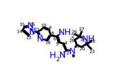 CN(/C(N)=C/C=C(\N)c1ccc(-n2cccn2)nc1)C1CC(C)(C)NC(C)(C)C1